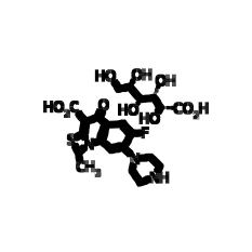 CC1Sc2c(C(=O)O)c(=O)c3cc(F)c(N4CCNCC4)cc3n21.O=C(O)[C@H](O)[C@@H](O)[C@H](O)[C@H](O)CO